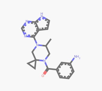 CC1CN(C(=O)c2cccc(N)c2)C2(CC2)CN1c1ncnc2[nH]ccc12